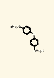 CCCCCCCc1ccc(Oc2ccc(CCCCCCC)cc2)cc1